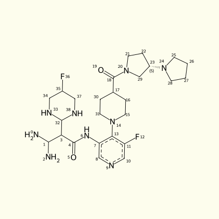 NC(N)C(C(=O)Nc1cncc(F)c1N1CCC(C(=O)N2CC[C@H](N3CCCC3)C2)CC1)C1NCC(F)CN1